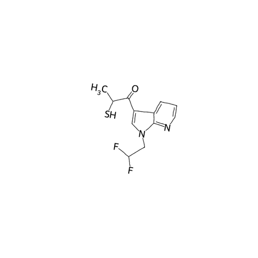 CC(S)C(=O)c1cn(CC(F)F)c2ncccc12